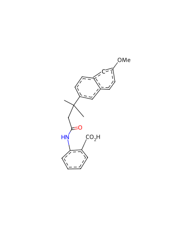 COc1ccc2cc(C(C)(C)CC(=O)Nc3ccccc3C(=O)O)ccc2c1